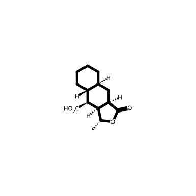 C[C@H]1OC(=O)[C@@H]2C[C@@H]3CCCC[C@H]3[C@H](C(=O)O)[C@H]12